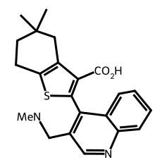 CNCc1cnc2ccccc2c1-c1sc2c(c1C(=O)O)CC(C)(C)CC2